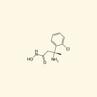 C[C@@](N)(CC(=O)NO)c1ccccc1Cl